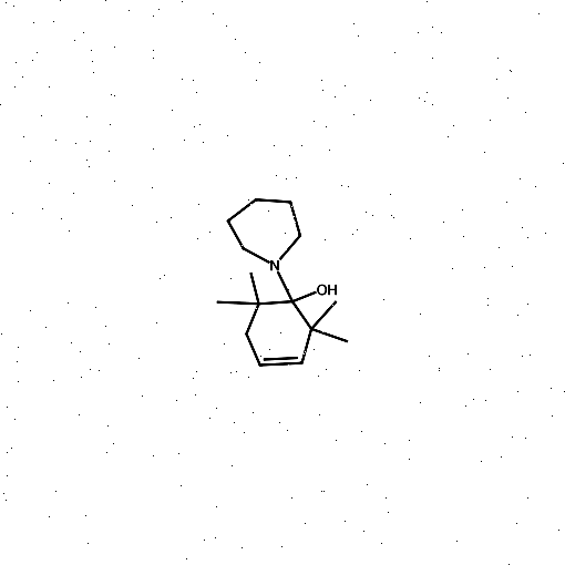 CC1(C)C=CCC(C)(C)C1(O)N1CCCCC1